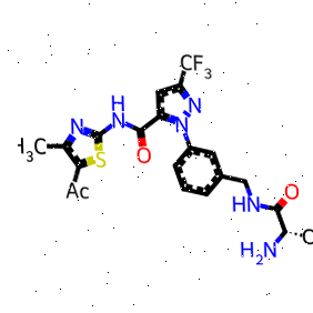 CC(=O)c1sc(NC(=O)c2cc(C(F)(F)F)nn2-c2cccc(CNC(=O)[C@H](C)N)c2)nc1C